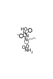 CCCCC1CC(OC(N)=O)CCN1c1nc(-c2ccccc2O)nc2cc(C)ccc12